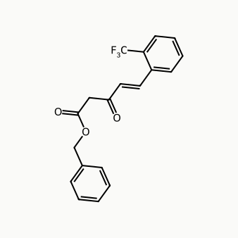 O=C(C=Cc1ccccc1C(F)(F)F)CC(=O)OCc1ccccc1